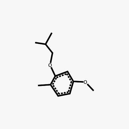 COc1ccc(C)c(OCC(C)C)c1